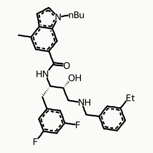 CCCCn1ccc2c(C)cc(C(=O)N[C@@H](Cc3cc(F)cc(F)c3)[C@H](O)CNCc3cccc(CC)c3)cc21